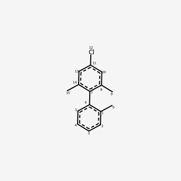 Cc1ccccc1-c1c(C)cc(Cl)cc1C